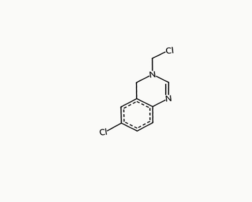 ClCN1C=Nc2ccc(Cl)cc2C1